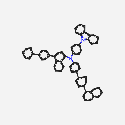 c1ccc(-c2ccc(-c3ccc(N(c4ccc(-c5ccc(-c6cccc7ccccc67)cc5)cc4)c4ccc(-n5c6ccccc6c6ccccc65)cc4)c4ccccc34)cc2)cc1